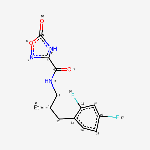 CC[C@H](CNC(=O)c1noc(=O)[nH]1)Cc1ccc(F)cc1F